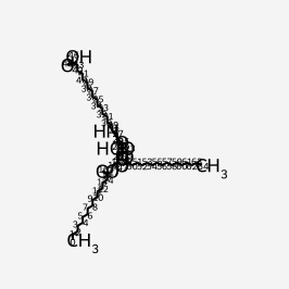 CCCCCCCCCCCCCCCC(=O)OCC(COP(=O)(O)OCCNCCCCCCCCCCCCCCCC(=O)O)OC(=O)CCCCCCCCCCCCCCC